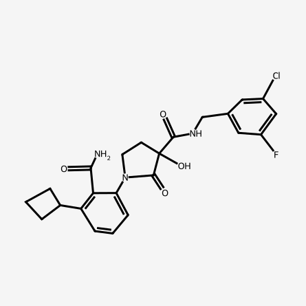 NC(=O)c1c(C2CCC2)cccc1N1CCC(O)(C(=O)NCc2cc(F)cc(Cl)c2)C1=O